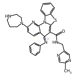 Cc1cnc(CNC(=O)c2/c(=N/c3ccccc3)c3ccc(N4CCCNCC4)nc3n3c2sc2ccccc23)cn1